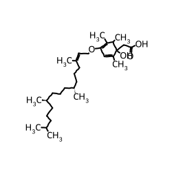 CC(=CCOC1=C(C)C(C)C(O)(CC(=O)O)C(C)=C1)CCC[C@H](C)CCC[C@H](C)CCCC(C)C